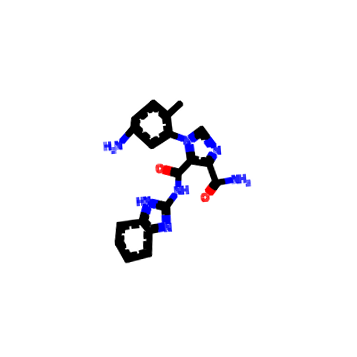 Cc1ccc(N)cc1-n1cnc(C(N)=O)c1C(=O)Nc1nc2ccccc2[nH]1